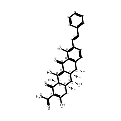 C[C@H]1c2ccc(/C=C/c3ccccc3)c(O)c2C(=O)C2=C(O)[C@]3(O)C(=O)C(C(N)=O)=C(O)C[C@@H]3[C@@H](O)[C@@H]21